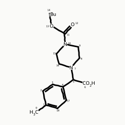 Cc1ccc(C(C(=O)O)N2CCN(C(=O)OC(C)(C)C)CC2)cc1